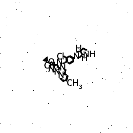 Cc1ccnc(Cn2c(-c3ccc(N4C[C@H]5CCN[C@H]5C4)cc3Cl)nc3c(OC4(C)CC4)ncnc32)c1